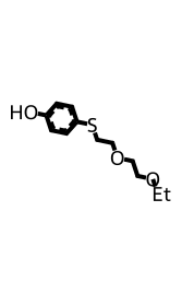 CCOCCOCCSc1ccc(O)cc1